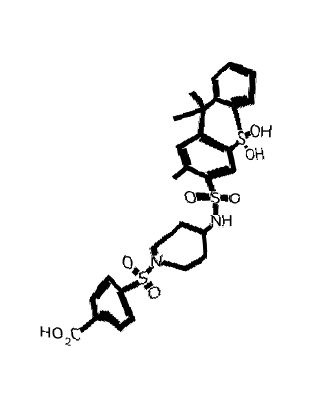 Cc1cc2c(cc1S(=O)(=O)NC1CCN(S(=O)(=O)c3ccc(C(=O)O)cc3)CC1)S(O)(O)c1ccccc1C2(C)C